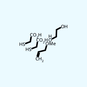 C=CCOC.O=C(O)CS.O=C(O)CS.OCCO